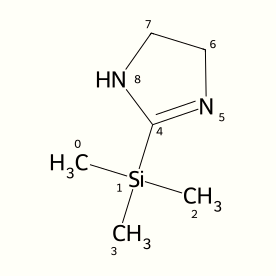 C[Si](C)(C)C1=NCCN1